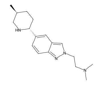 C[C@H]1CC[C@H](c2ccc3nn(CCN(C)C)cc3c2)NC1